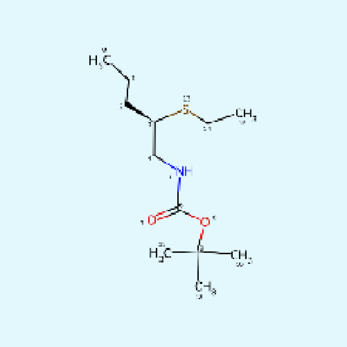 CCC[C@H](CNC(=O)OC(C)(C)C)SCC